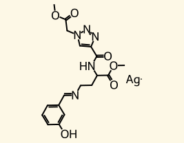 COC(=O)Cn1cc(C(=O)NC(CCN=Cc2cccc(O)c2)C(=O)OC)nn1.[Ag]